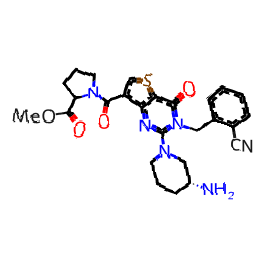 COC(=O)C1CCCN1C(=O)c1csc2c(=O)n(Cc3ccccc3C#N)c(N3CCC[C@@H](N)C3)nc12